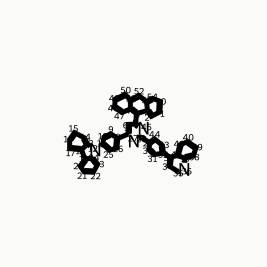 c1ccc2c(-c3cc(-c4ccc(-n5c6ccccc6c6ccccc65)cc4)nc(-c4ccc(-c5ccnc6ccccc56)cc4)n3)c3ccccc3cc2c1